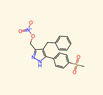 CS(=O)(=O)c1ccc(-c2[nH]nc(CO[N+](=O)[O-])c2Cc2ccccc2)cc1